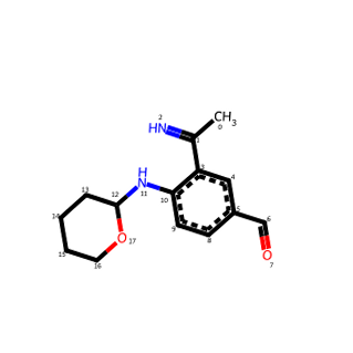 CC(=N)c1cc(C=O)ccc1NC1CCCCO1